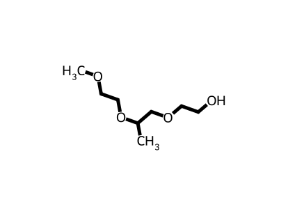 COCCOC(C)COCCO